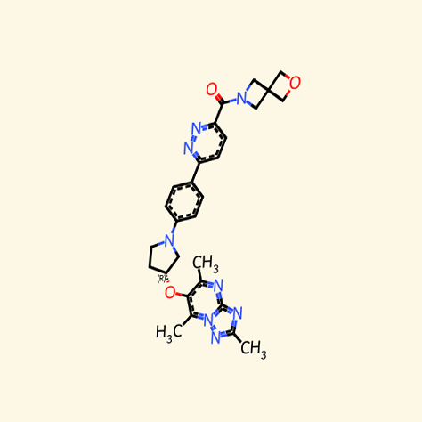 Cc1nc2nc(C)c(O[C@@H]3CCN(c4ccc(-c5ccc(C(=O)N6CC7(COC7)C6)nn5)cc4)C3)c(C)n2n1